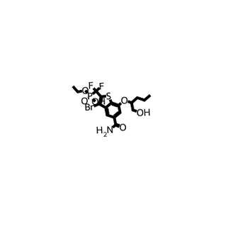 CCCC(CO)Oc1cc(C(N)=O)cc2c(Br)c(C(F)(F)P(=O)(O)OCC)sc12